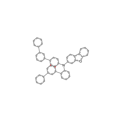 c1ccc(-c2cccc(-c3ccc(N(c4ccc5c(c4)oc4ccccc45)c4ccccc4-c4cccc(-c5ccccc5)c4)cc3)c2)cc1